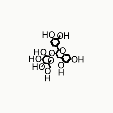 OCC1O[C@@H](O[C@@H]2Cc3c(O)cc(O)cc3OC2c2ccc(O)c(O)c2)C(O)[C@@H](O)[C@@H]1O